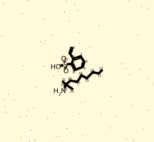 C=Cc1ccccc1S(=O)(=O)O.CCCCCCCC(C)(C)N